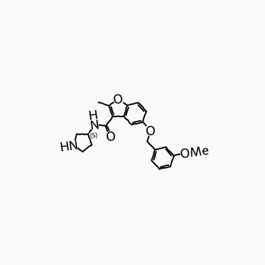 COc1cccc(COc2ccc3oc(C)c(C(=O)N[C@H]4CCNC4)c3c2)c1